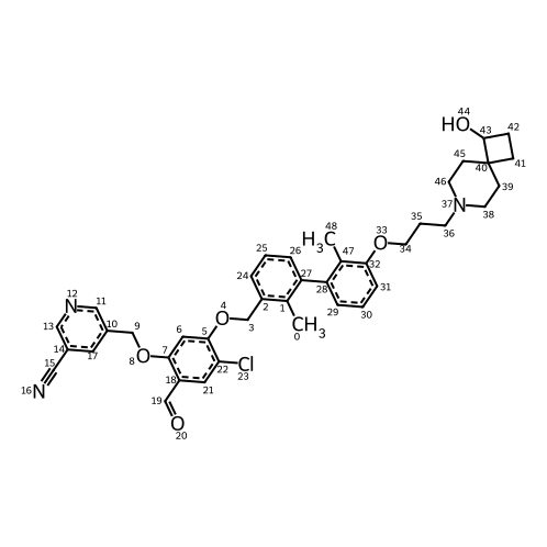 Cc1c(COc2cc(OCc3cncc(C#N)c3)c(C=O)cc2Cl)cccc1-c1cccc(OCCCN2CCC3(CCC3O)CC2)c1C